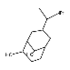 CC(C)C(C)C1CC2CCC(O)C(C1)C2O